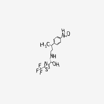 CC(CCNCC(O)c1csc(C(F)(F)F)n1)c1ccc(NC=O)cc1